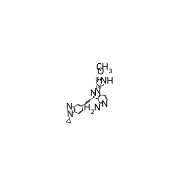 COC[C@H]1C[C@H](n2nc(C#Cc3ccc4c(c3)ncn4C3CC3)c3c(N)nccc32)CN1